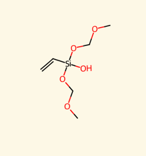 C=C[Si](O)(OCOC)OCOC